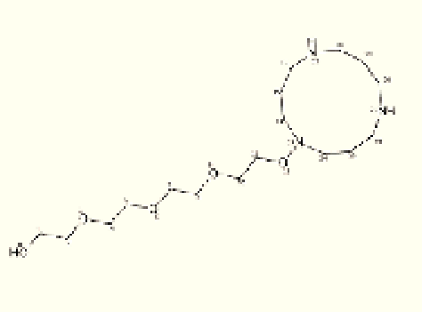 OCCOCCOCCOCCON1CCCNCCCNCCC1